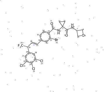 O=C(NC1(C(=O)NC2COC2)CC1)c1ccc(/C=C/C(c2cc(Cl)c(Cl)c(Cl)c2)C(F)(F)F)cc1Br